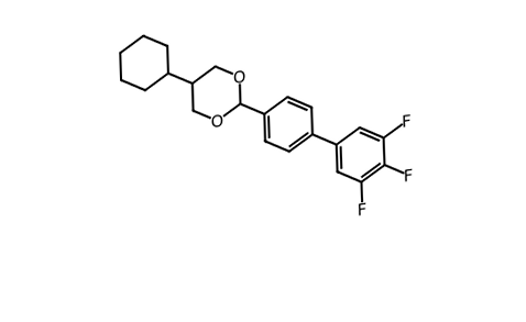 Fc1cc(-c2ccc(C3OCC(C4CCCCC4)CO3)cc2)cc(F)c1F